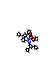 c1ccc(-c2cc(-c3ccccc3)cc(-c3nc(-c4cc(-c5ccccc5)cc(-c5ccccc5)c4)nc(-c4cccc5c4c4cc(-c6cccc7c6oc6ccccc67)ccc4n5-c4ccccc4)n3)c2)cc1